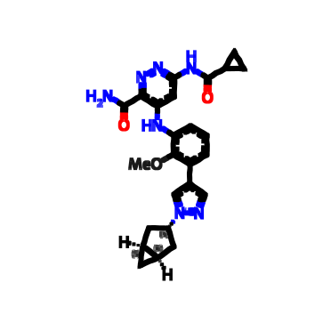 COc1c(Nc2cc(NC(=O)C3CC3)nnc2C(N)=O)cccc1-c1cnn([C@@H]2C[C@H]3C[C@H]3C2)c1